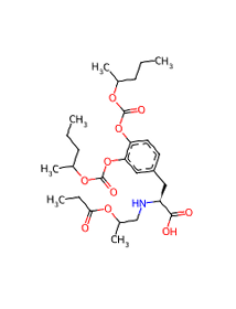 CCCC(C)OC(=O)Oc1ccc(C[C@H](NCC(C)OC(=O)CC)C(=O)O)cc1OC(=O)OC(C)CCC